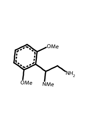 CNC(CN)c1c(OC)cccc1OC